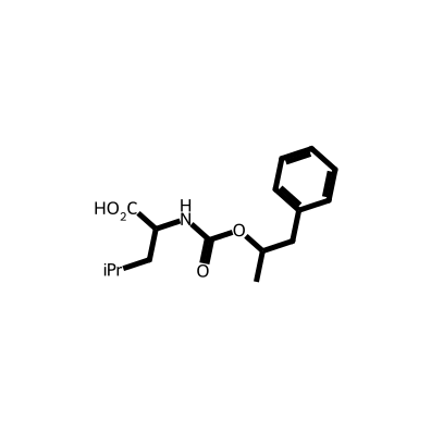 CC(C)CC(NC(=O)OC(C)Cc1ccccc1)C(=O)O